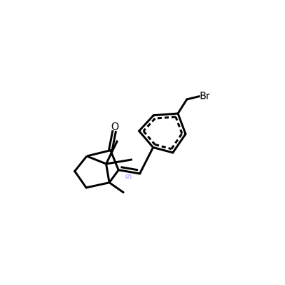 CC12CCC(C(=O)/C1=C\c1ccc(CBr)cc1)C2(C)C